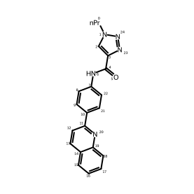 CCCn1cc(C(=O)Nc2ccc(-c3ccc4ccccc4n3)cc2)nn1